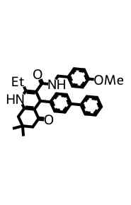 CCC1=C(C(=O)NCc2ccc(OC)cc2)C(c2ccc(-c3ccccc3)cc2)C2=C(CC(C)(C)CC2=O)N1